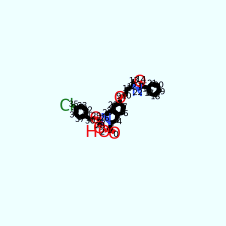 O=C(O)C1Cc2ccc(OCCc3coc(-c4ccccc4)n3)cc2CN1C(=O)OCc1ccc(Cl)cc1